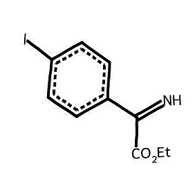 CCOC(=O)C(=N)c1ccc(I)cc1